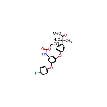 COC(=O)C(C)(C)c1ccc(Oc2cc(NC(=O)OCC(Cl)(Cl)Cl)cc(Oc3ccc(F)cc3)c2)cc1